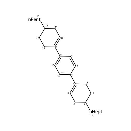 CCCCCCCC1CC=C(c2ccc(C3=CCC(CCCCC)CC3)cc2)CC1